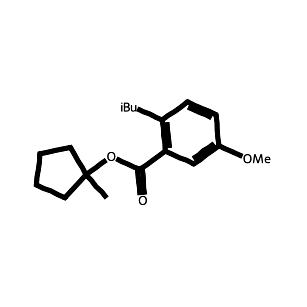 CCC(C)c1ccc(OC)cc1C(=O)OC1(C)CCCC1